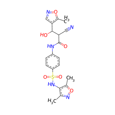 Cc1noc(C)c1NS(=O)(=O)c1ccc(NC(=O)C(C#N)C(O)c2cnoc2C)cc1